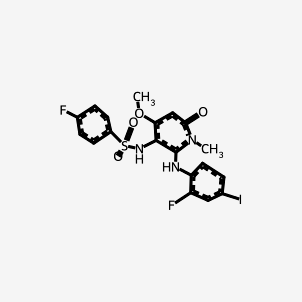 COc1cc(=O)n(C)c(Nc2ccc(I)cc2F)c1NS(=O)(=O)c1ccc(F)cc1